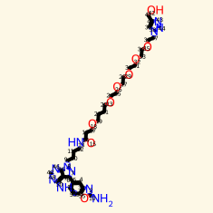 Nc1nc2cc(-c3nn(CCCCNC(=O)CCOCCCCOCCOCCOCCOCCOCCn4cc(CO)nn4)c4ncnc(N)c34)ccc2o1